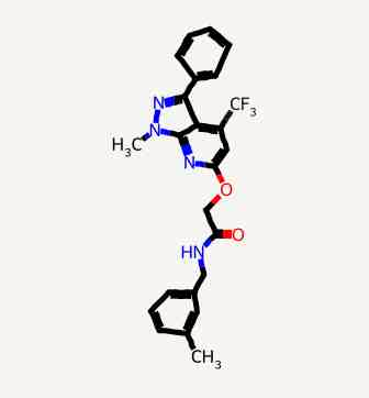 Cc1cccc(CNC(=O)COc2cc(C(F)(F)F)c3c(-c4ccccc4)nn(C)c3n2)c1